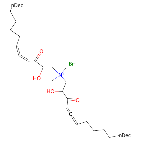 CCCCCCCCCCCCCCC=C=CC(=O)C(O)C[N+](C)(C)CC(O)C(=O)C=C=CCCCCCCCCCCCCCC.[Br-]